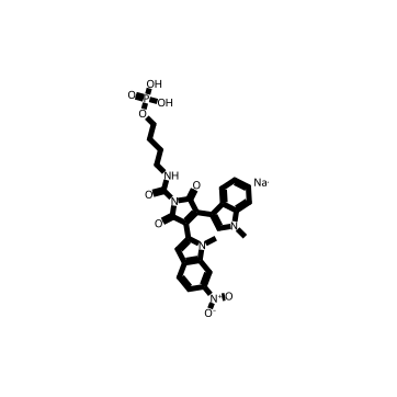 Cn1cc(C2=C(c3cc4ccc([N+](=O)[O-])cc4n3C)C(=O)N(C(=O)NCCCCOP(=O)(O)O)C2=O)c2ccccc21.[Na]